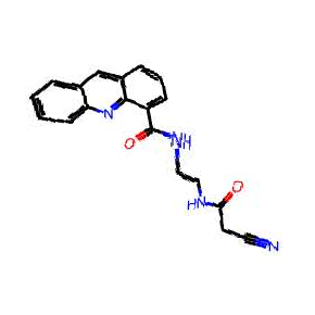 N#CCC(=O)NCCNC(=O)c1cccc2cc3ccccc3nc12